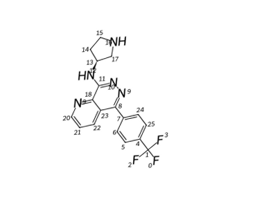 FC(F)(F)c1ccc(-c2nnc(N[C@H]3CCNC3)c3ncccc23)cc1